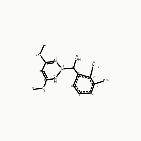 COC1=CC(OC)=NN(C(O)c2cccc(F)c2N)N1